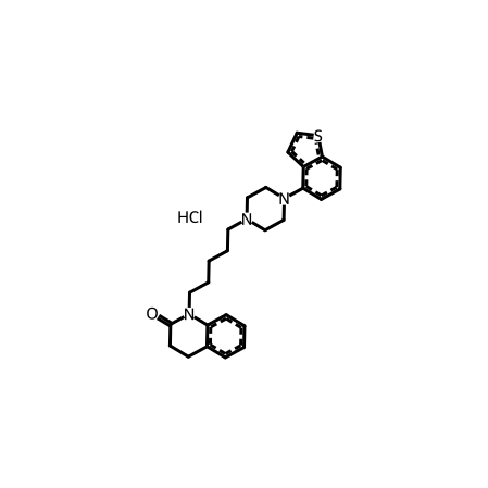 Cl.O=C1CCc2ccccc2N1CCCCCN1CCN(c2cccc3sccc23)CC1